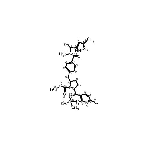 CCC(c1cc(C)n[nH]1)N(C)C(=O)c1ccc(CC2CCC(C(O[Si](C)(C)C(C)(C)C)c3ccc(Cl)nc3)N2C(=O)OC(C)(C)C)cc1